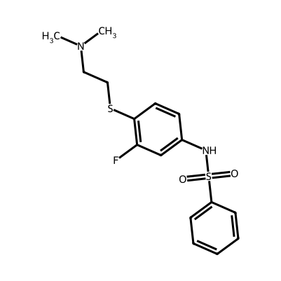 CN(C)CCSc1ccc(NS(=O)(=O)c2ccccc2)cc1F